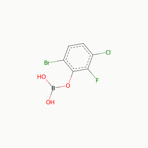 OB(O)Oc1c(Br)ccc(Cl)c1F